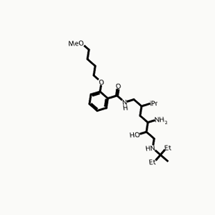 CCC(C)(CC)NCC(O)C(N)CC(CNC(=O)c1ccccc1OCCCCOC)C(C)C